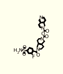 NS(=O)(=O)c1ccc(C(=O)N2CCC3=C(CCN(C(=O)OC(=O)N4C=Cc5cnccc5C4)C3)C2)c(F)c1